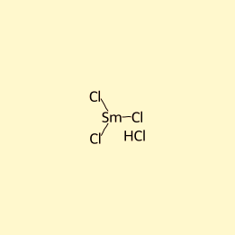 Cl.[Cl][Sm]([Cl])[Cl]